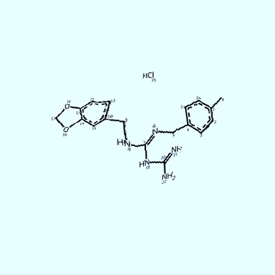 Cc1ccc(CN=C(NCc2ccc3c(c2)OCO3)NC(=N)N)cc1.Cl